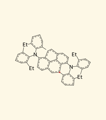 CCc1cccc(C)c1N(c1c(C)cccc1CC)c1ccc2ccc3c(N(c4c(C)cccc4CC)c4c(C)cccc4CC)ccc4ccc1c2c43